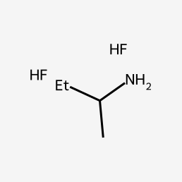 CCC(C)N.F.F